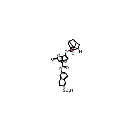 O=C1Oc2c(OC(=O)C34CC5CC(C3)C(=O)[C@H](C5)C4)c3oc2c1c3C(=O)Oc1ccc2cc(S(=O)(=O)O)ccc2c1